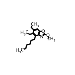 CCCCCCc1c(CC)c(CC)cc2oc(OC)nc12